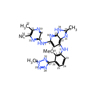 COc1c(Nc2cc(Nc3cnc(C)c(C#N)n3)nc3[nH]c(C)nc23)cccc1-c1nnn(C)n1